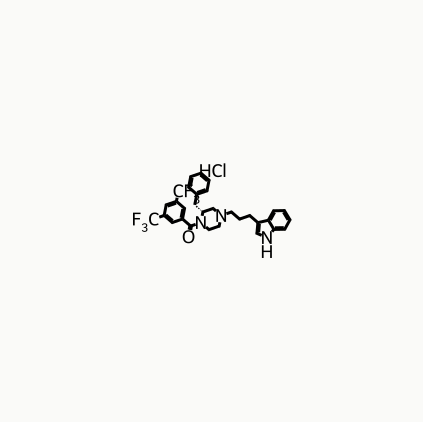 Cl.O=C(c1cc(C(F)(F)F)cc(C(F)(F)F)c1)N1CCN(CCCc2c[nH]c3ccccc23)C[C@H]1Cc1ccccc1